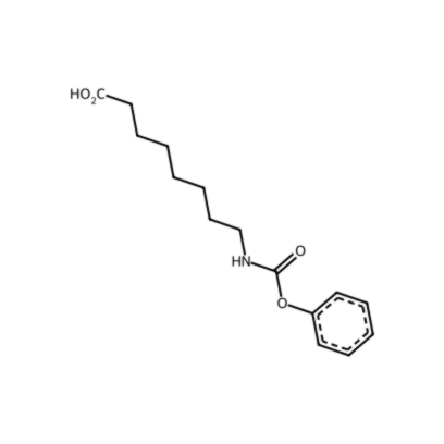 O=C(O)CCCCCCCNC(=O)Oc1ccccc1